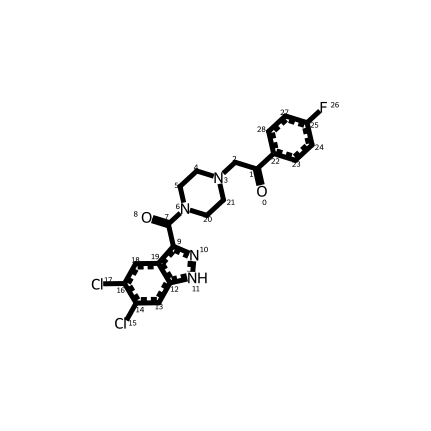 O=C(CN1CCN(C(=O)c2n[nH]c3cc(Cl)c(Cl)cc23)CC1)c1ccc(F)cc1